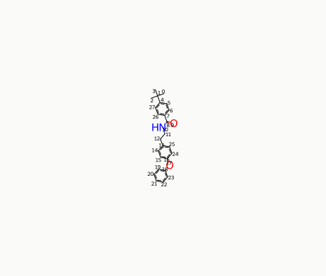 CC(C)(C)c1ccc(C(=O)NCCc2ccc(Oc3ccccc3)cc2)cc1